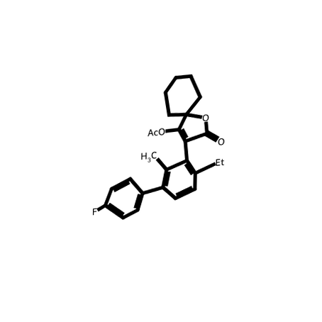 CCc1ccc(-c2ccc(F)cc2)c(C)c1C1=C(OC(C)=O)C2(CCCCC2)OC1=O